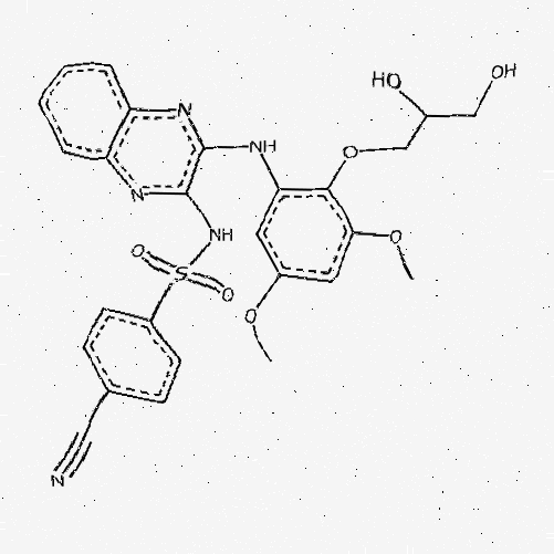 COc1cc(Nc2nc3ccccc3nc2NS(=O)(=O)c2ccc(C#N)cc2)c(OCC(O)CO)c(OC)c1